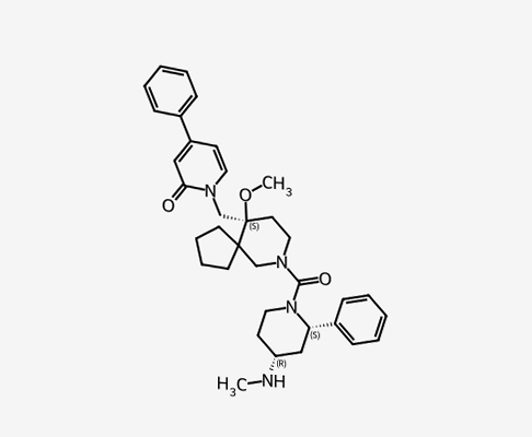 CN[C@@H]1CCN(C(=O)N2CC[C@](Cn3ccc(-c4ccccc4)cc3=O)(OC)C3(CCCC3)C2)[C@H](c2ccccc2)C1